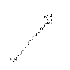 CC(C)(C)OC(=O)NCCOCCCCCCCCCCCCN